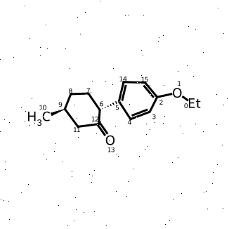 CCOc1ccc([C@H]2CC[C@H](C)CC2=O)cc1